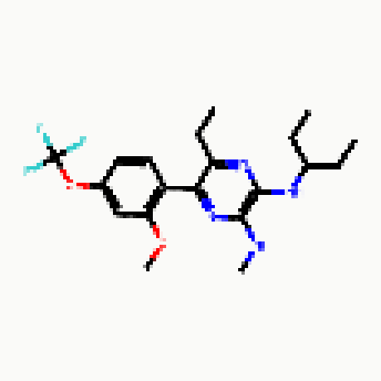 CCc1nc(NC(CC)CC)c(NC)nc1-c1ccc(OC(F)(F)F)cc1OC